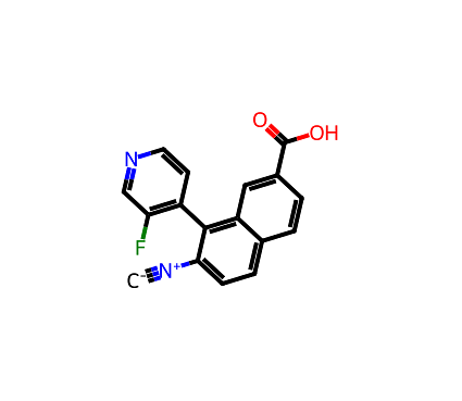 [C-]#[N+]c1ccc2ccc(C(=O)O)cc2c1-c1ccncc1F